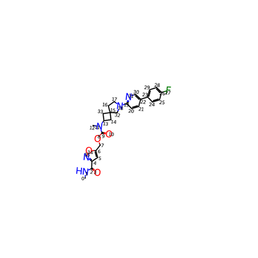 CNC(=O)c1cc(COC(=O)N(C)C2CC3(CCN(c4ccc(-c5ccc(F)cc5)cn4)C3)C2)on1